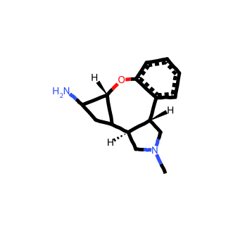 CN1C[C@H]2c3ccccc3O[C@H]3C(N)CC3[C@@H]2C1